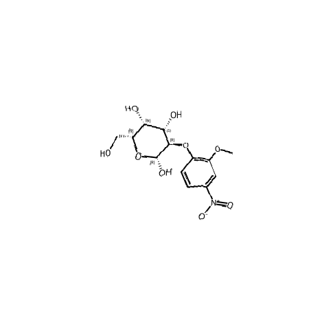 COc1cc([N+](=O)[O-])ccc1O[C@@H]1[C@@H](O)[C@@H](O)[C@@H](CO)O[C@H]1O